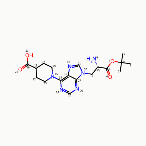 CC(C)(C)OC(=O)[C@@H](N)Cn1cnc2c(N3CCC(C(=O)O)CC3)ncnc21